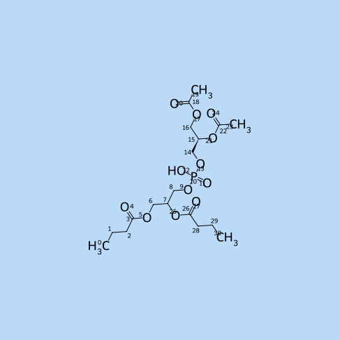 CCCC(=O)OCC(COP(=O)(O)OC[C@@H](COC(C)=O)OC(C)=O)OC(=O)CCC